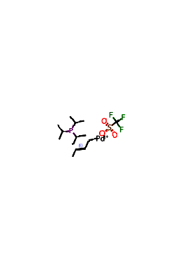 C/C=C/[CH2][Pd+].CC(C)P(C(C)C)C(C)C.O=S(=O)([O-])C(F)(F)F